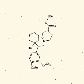 COc1ccc(C(CN2CCN(C(=O)OC(C)(C)C)CC2)C2(O)CCCCC2)cc1OC(F)(F)F